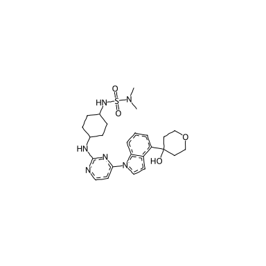 CN(C)S(=O)(=O)NC1CCC(Nc2nccc(-n3ccc4c(C5(O)CCOCC5)cccc43)n2)CC1